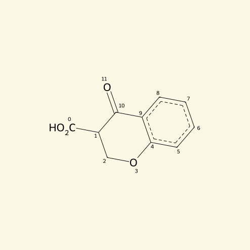 O=C(O)C1COc2ccccc2C1=O